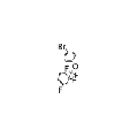 FC1=CC=CC(F)(C(F)(F)Oc2ccc(Br)cc2)C1